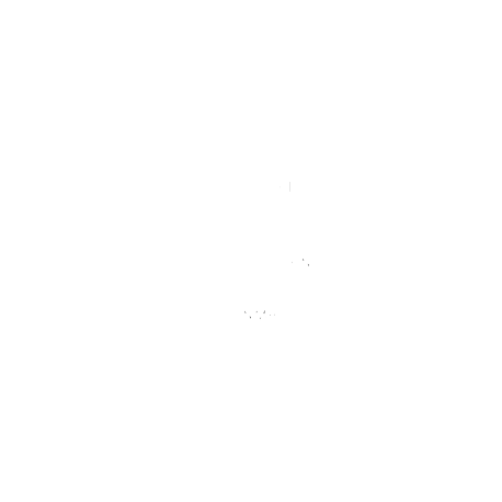 CNc1cccc(Cl)c1C#N